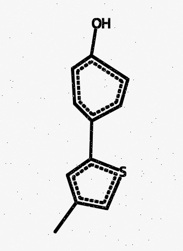 Cc1csc(-c2ccc(O)cc2)c1